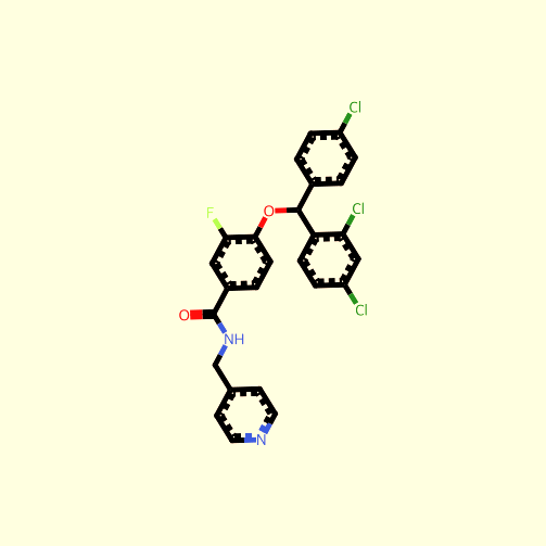 O=C(NCc1ccncc1)c1ccc(OC(c2ccc(Cl)cc2)c2ccc(Cl)cc2Cl)c(F)c1